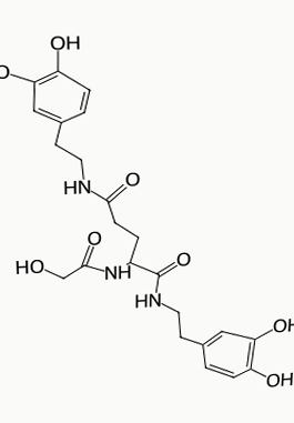 O=C(CCC(NC(=O)CO)C(=O)NCCc1ccc(O)c(O)c1)NCCc1ccc(O)c(O)c1